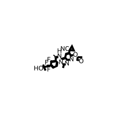 Cc1nc(N[C@H](C)c2cccc(C(F)(F)C(C)(C)O)c2F)c2cc(C3(C#N)CC3)c(OC3COC3)nc2n1